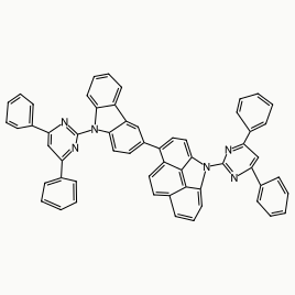 c1ccc(-c2cc(-c3ccccc3)nc(-n3c4ccccc4c4cc(-c5ccc6c7c5ccc5cccc(c57)n6-c5nc(-c6ccccc6)cc(-c6ccccc6)n5)ccc43)n2)cc1